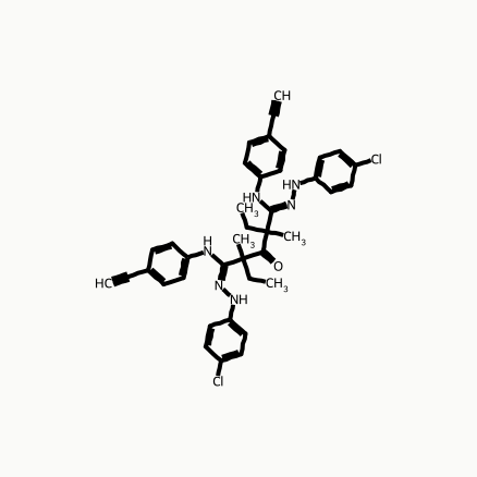 C#Cc1ccc(NC(=NNc2ccc(Cl)cc2)C(C)(CC)C(=O)C(C)(CC)C(=NNc2ccc(Cl)cc2)Nc2ccc(C#C)cc2)cc1